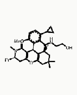 COc1ccc(C2CC2)c(C(=O)NCCO)c1[C@H]1C2=C(CC(C)(C)CC2=O)OC2=C1C(=O)N(C)[C@H](C(C)C)C2